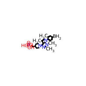 Bc1cc(C)c(-n2cc(C)c3c(N4CCC(COP(=O)(O)O)CC4)nc(C)nc32)c(C)c1